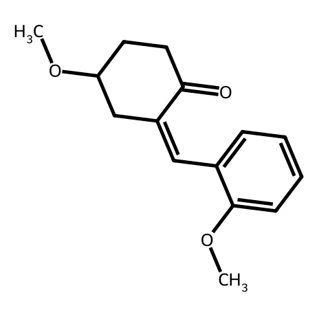 COc1ccccc1/C=C1/CC(OC)CCC1=O